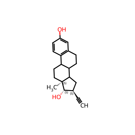 C#C[C@@H]1CC2C3CCc4cc(O)ccc4C3CC[C@]2(C)[C@H]1O